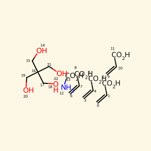 C=CC(=O)O.C=CC(=O)O.C=CC(=O)O.C=CC(=O)O.NC(=O)O.OCC(CO)(CO)CO